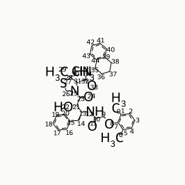 Cc1cccc(C)c1OCC(=O)N[C@@H](Cc1ccccc1)[C@H](O)C(=O)N1CSC(C)(C)[C@H]1C(=O)N[C@H]1CCCc2ccccc21